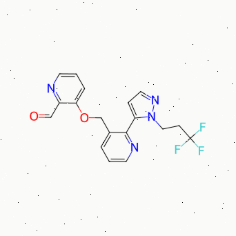 O=Cc1ncccc1OCc1cccnc1-c1ccnn1CCC(F)(F)F